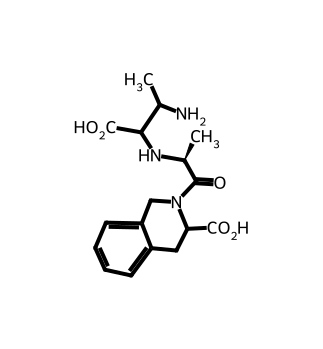 CC(N)C(N[C@@H](C)C(=O)N1Cc2ccccc2CC1C(=O)O)C(=O)O